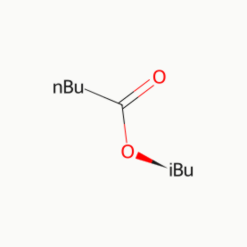 CCCCC(=O)O[C@H](C)CC